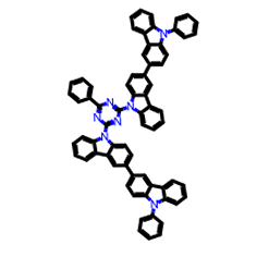 c1ccc(-c2nc(-n3c4ccccc4c4cc(-c5ccc6c(c5)c5ccccc5n6-c5ccccc5)ccc43)nc(-n3c4ccccc4c4cc(-c5ccc6c(c5)c5ccccc5n6-c5ccccc5)ccc43)n2)cc1